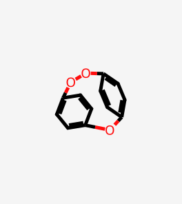 c1cc2ccc1ooc1ccc(cc1)o2